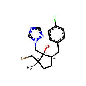 C[C@@]1(CBr)CC[C@H](Cc2ccc(Cl)cc2)[C@@]1(O)Cn1cncn1